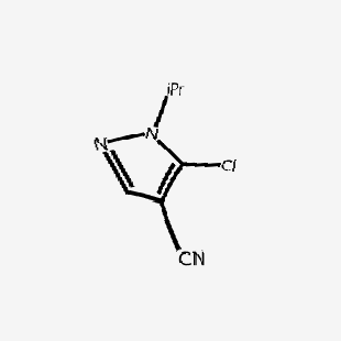 CC(C)n1ncc(C#N)c1Cl